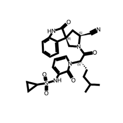 CC(C)CC[C@@H](C(=O)N1C[C@]2(C[C@H]1C#N)C(=O)Nc1ccccc12)n1cccc(NS(=O)(=O)C2CC2)c1=O